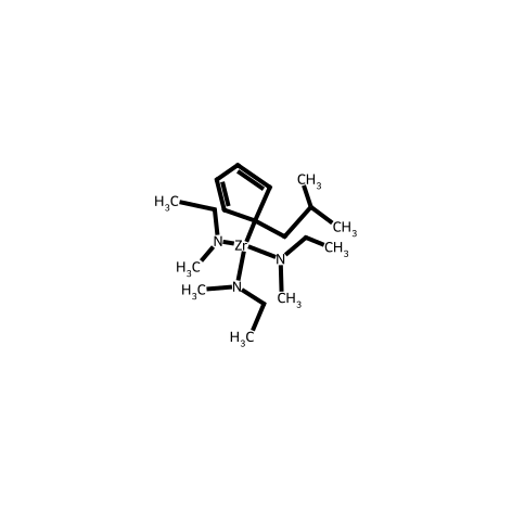 CC[N](C)[Zr]([N](C)CC)([N](C)CC)[C]1(CC(C)C)C=CC=C1